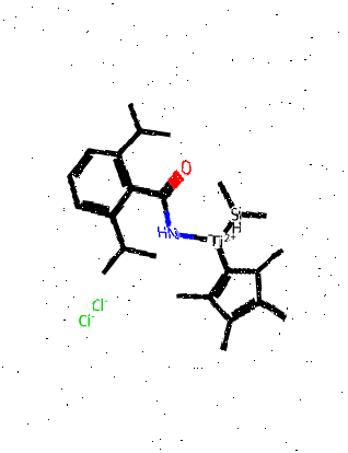 CC1=C(C)C(C)[C]([Ti+2]([NH]C(=O)c2c(C(C)C)cccc2C(C)C)[SiH](C)C)=C1C.[Cl-].[Cl-]